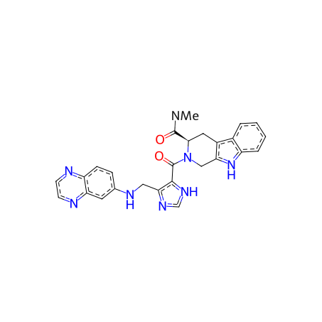 CNC(=O)[C@H]1Cc2c([nH]c3ccccc23)CN1C(=O)c1[nH]cnc1CNc1ccc2nccnc2c1